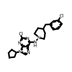 Clc1cccc(CC2CCN(Nc3nc(Cl)nc4c3ncn4C3CCCC3)CC2)c1